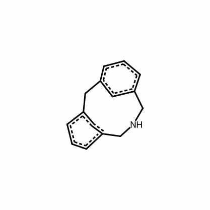 c1cc2cc(c1)Cc1cccc(c1)CNC2